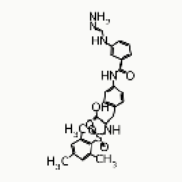 Cc1cc(C)c(S(=O)(=O)NC(Cc2ccc(NC(=O)c3cccc(NC=NN)c3)cc2)C(=O)O)c(C)c1